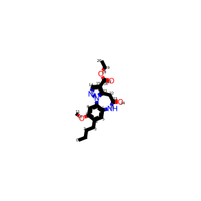 CCCCc1cc2c(cc1OC)-n1ncc(C(=O)OCC)c1CC(=O)N2